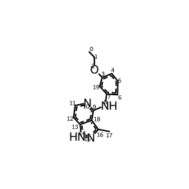 CCOc1cccc(Nc2nccc3[nH]nc(C)c23)c1